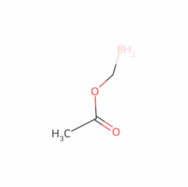 BCOC(C)=O